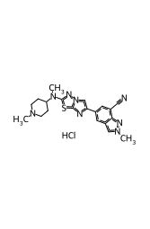 CN1CCC(N(C)c2nn3cc(-c4cc(C#N)c5nn(C)cc5c4)nc3s2)CC1.Cl